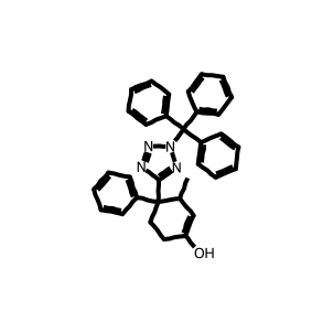 CC1C=C(O)CCC1(c1ccccc1)c1nnn(C(c2ccccc2)(c2ccccc2)c2ccccc2)n1